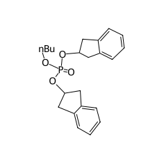 CCCCOP(=O)(OC1Cc2ccccc2C1)OC1Cc2ccccc2C1